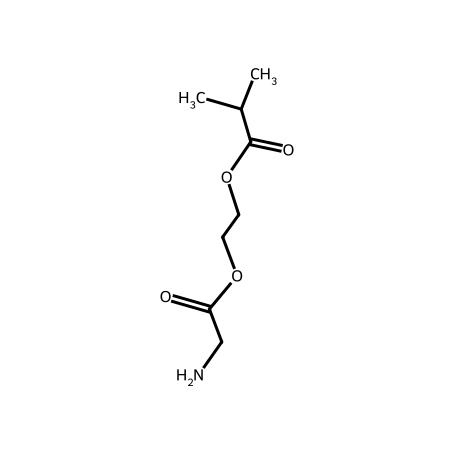 CC(C)C(=O)OCCOC(=O)CN